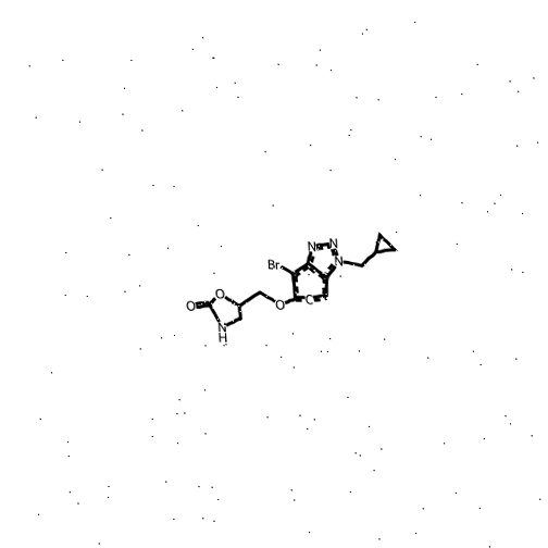 O=C1NCC(COc2ccc3c(nnn3CC3CC3)c2Br)O1